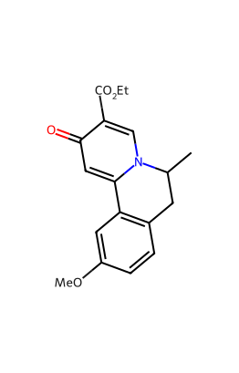 CCOC(=O)c1cn2c(cc1=O)-c1cc(OC)ccc1CC2C